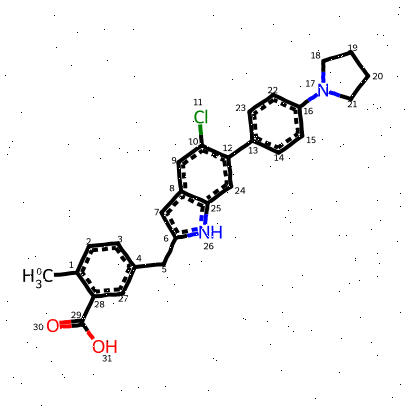 Cc1ccc(Cc2cc3cc(Cl)c(-c4ccc(N5CCCC5)cc4)cc3[nH]2)cc1C(=O)O